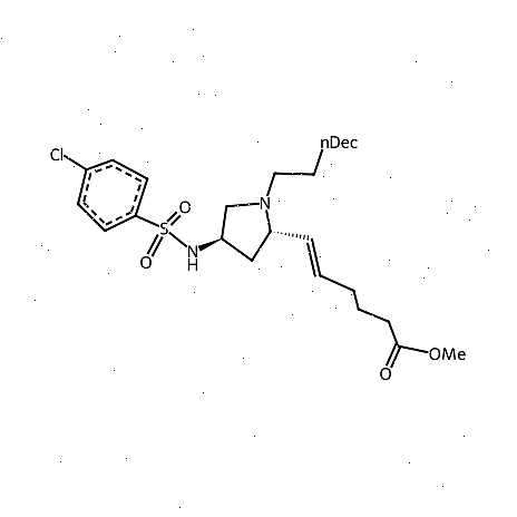 CCCCCCCCCCCCN1C[C@H](NS(=O)(=O)c2ccc(Cl)cc2)C[C@H]1C=CCCCC(=O)OC